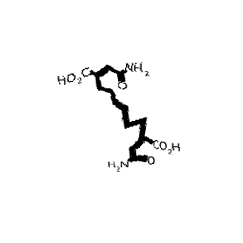 NC(=O)C=C(CCCCCCC(=CC(N)=O)C(=O)O)C(=O)O